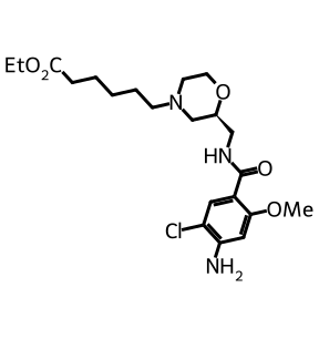 CCOC(=O)CCCCCN1CCO[C@@H](CNC(=O)c2cc(Cl)c(N)cc2OC)C1